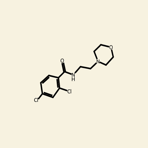 O=C(NCCN1CCOCC1)c1ccc(Cl)cc1Cl